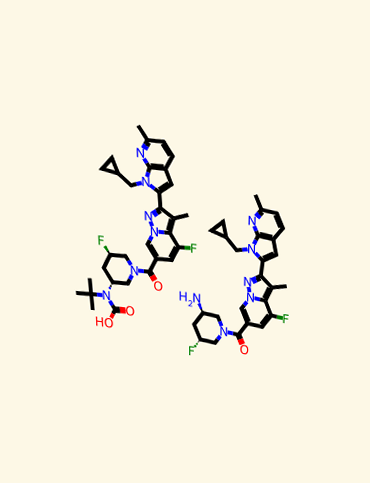 Cc1ccc2cc(-c3nn4cc(C(=O)N5C[C@H](F)C[C@@H](N(C(=O)O)C(C)(C)C)C5)cc(F)c4c3C)n(CC3CC3)c2n1.Cc1ccc2cc(-c3nn4cc(C(=O)N5C[C@H](N)C[C@@H](F)C5)cc(F)c4c3C)n(CC3CC3)c2n1